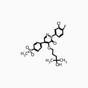 CC(C)(O)CCCOc1c(-c2ccc(S(C)(=O)=O)cc2)cnn(-c2ccc(F)c(Cl)c2)c1=O